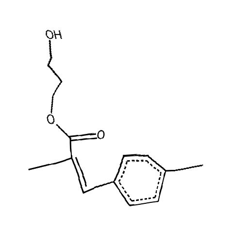 CC(=Cc1ccc(C)cc1)C(=O)OCCO